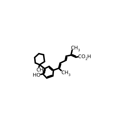 CC(C=CC=C(C)c1ccc(O)c(C2(C)CCCCC2)c1)=CC(=O)O